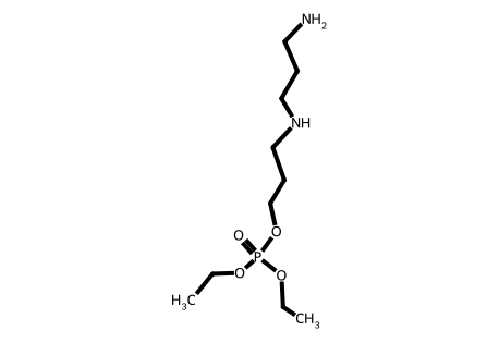 CCOP(=O)(OCC)OCCCNCCCN